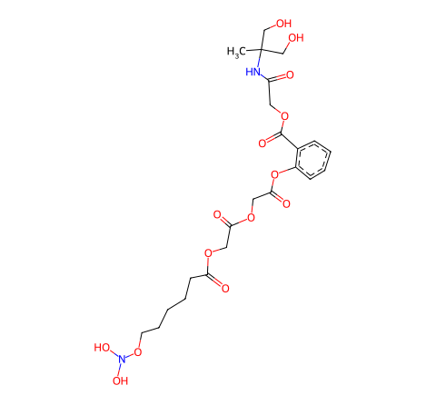 CC(CO)(CO)NC(=O)COC(=O)c1ccccc1OC(=O)COC(=O)COC(=O)CCCCCON(O)O